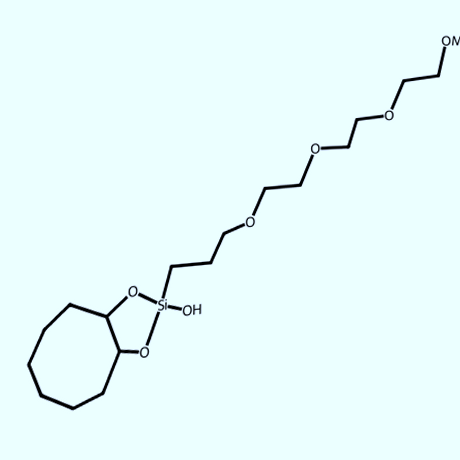 COCCOCCOCCOCCC[Si]1(O)OC2CCCCCCC2O1